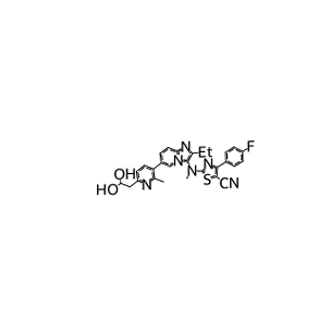 CCc1nc2ccc(-c3ccc(CC(O)O)nc3C)cn2c1N(C)c1nc(-c2ccc(F)cc2)c(C#N)s1